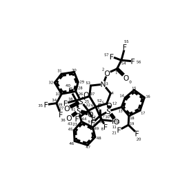 O=C(ON1CCC(C(F)(F)S(=O)(=O)c2ccccc2C(F)F)(C(F)(F)S(=O)(=O)c2ccccc2C(F)F)C(C(F)(F)S(=O)(=O)c2ccccc2C(F)F)C1)C(F)(F)F